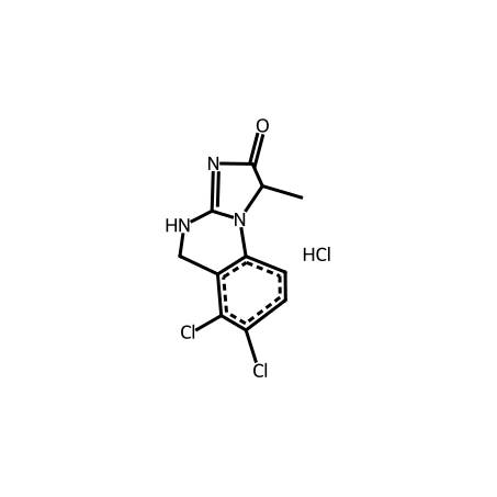 CC1C(=O)N=C2NCc3c(ccc(Cl)c3Cl)N21.Cl